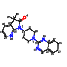 CC1(C)C(=O)N(C2CCN(c3ncc4ccccc4n3)CC2)c2ncccc21